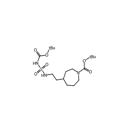 CC(C)(C)OC(=O)NS(=O)(=O)NCCC1CCCN(C(=O)OC(C)(C)C)CC1